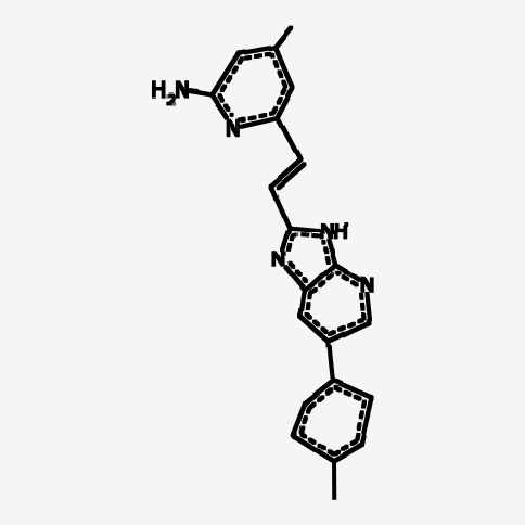 Cc1ccc(-c2cnc3[nH]c(C=Cc4cc(C)cc(N)n4)nc3c2)cc1